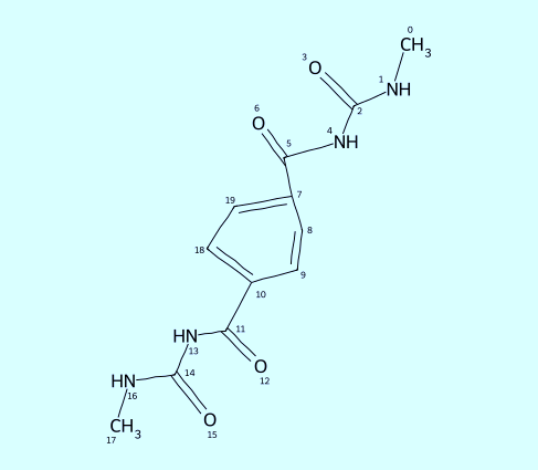 CNC(=O)NC(=O)c1ccc(C(=O)NC(=O)NC)cc1